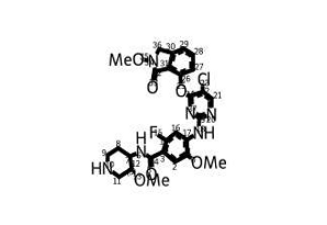 COc1cc(C(=O)NC2CCNC[C@@H]2OC)c(F)cc1Nc1ncc(Cl)c(Oc2cccc3c2C(=O)N(OC)C3)n1